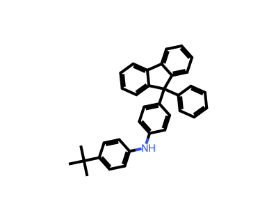 CC(C)(C)c1ccc(Nc2ccc(C3(c4ccccc4)c4ccccc4-c4ccccc43)cc2)cc1